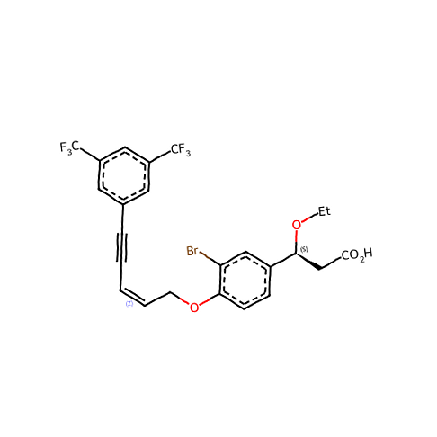 CCO[C@@H](CC(=O)O)c1ccc(OC/C=C\C#Cc2cc(C(F)(F)F)cc(C(F)(F)F)c2)c(Br)c1